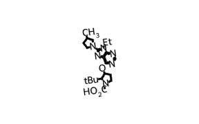 CCn1c(N2CCC(C)C2)nc2c(OC3CCN(C(=O)O)C3C(C)(C)C)ncnc21